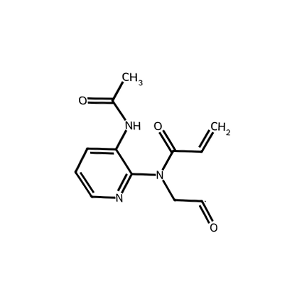 C=CC(=O)N(C[C]=O)c1ncccc1NC(C)=O